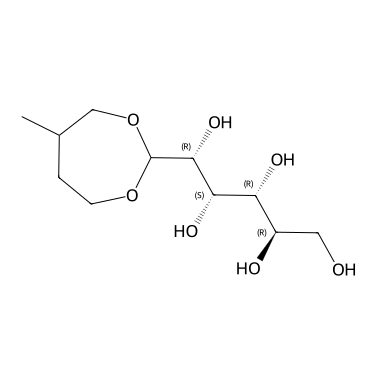 CC1CCOC([C@H](O)[C@@H](O)[C@H](O)[C@H](O)CO)OC1